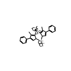 CC1=[C]([Zr+2]([C]2=C(C)C(c3ccccc3)=CC2C)=[Ge]([CH3])[CH3])C(C)C=C1c1ccccc1.[Cl-].[Cl-]